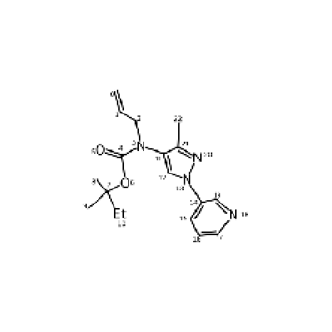 C=CCN(C(=O)OC(C)(C)CC)c1cn(-c2cccnc2)nc1C